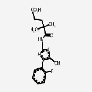 CC(C)(CCC(=O)O)C(=O)Nc1nc(-c2ccccc2F)c(C#N)s1